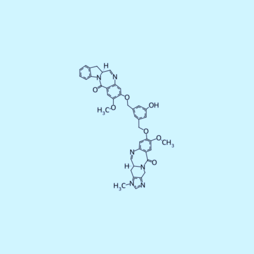 COc1cc2c(cc1OCc1cc(O)cc(COc3cc4c(cc3OC)C(=O)N3c5ccccc5C[C@H]3C=N4)c1)N=C[C@@H]1Cc3c(ncn3C)CN1C2=O